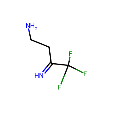 N=C(CCN)C(F)(F)F